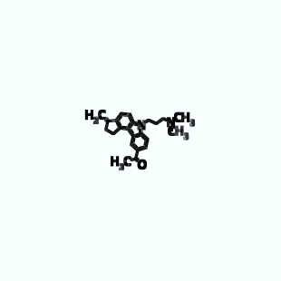 C=C1CCc2c1ccc1c2c2cc(C(C)=O)ccc2n1CCCN(C)C